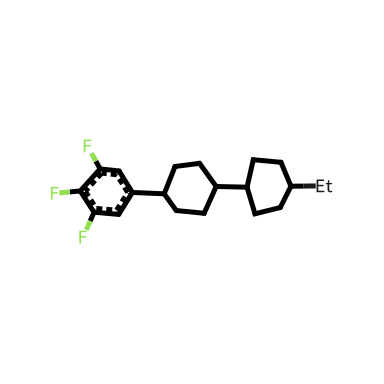 CCC1CCC(C2CCC(c3cc(F)c(F)c(F)c3)CC2)CC1